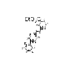 CCOC(=O)C1CCCN(CCN2CCN(c3ccccc3)CC2)C1